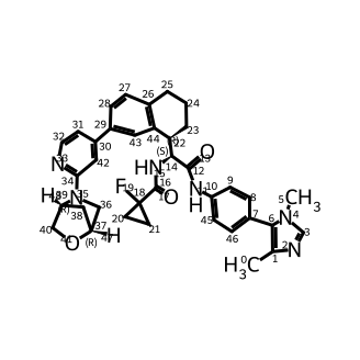 Cc1ncn(C)c1-c1ccc(NC(=O)[C@@H](NC(=O)C2(F)CC2)[C@@H]2CCCc3ccc(-c4ccnc(N5C[C@H]6C[C@@H]5CO6)c4)cc32)cc1